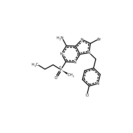 CCC[P@@](C)(=O)c1nc(N)c2nc(Br)n(Cc3ccc(Cl)nc3)c2n1